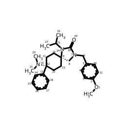 COc1ccc(CN2C[C@]3(CC[C@@](c4ccccc4)(N(C)C)CC3)N(C(C)C)C2=O)cc1